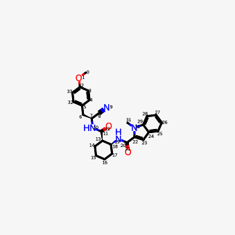 COc1ccc(C[C@@H](C#N)NC(=O)[C@@H]2CCCC[C@@H]2NC(=O)c2cc3ccccc3n2C)cc1